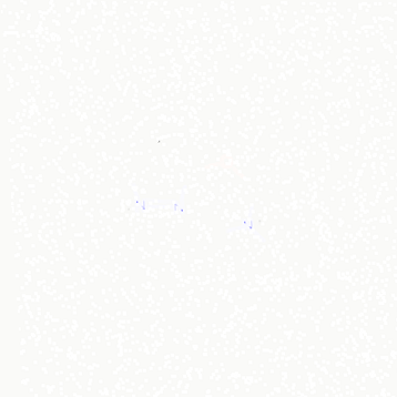 CC(OC1=CCN=N1)N(C)C